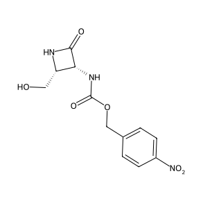 O=C(N[C@H]1C(=O)N[C@H]1CO)OCc1ccc([N+](=O)[O-])cc1